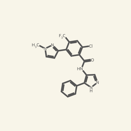 Cn1ccc(-c2cc(C(=O)Nc3cn[nH]c3-c3ccccc3)c(Cl)cc2C(F)(F)F)n1